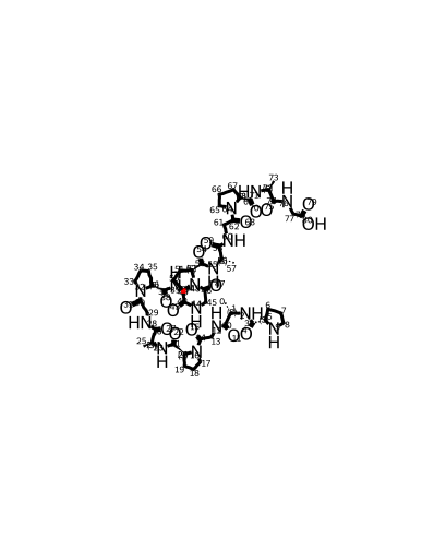 C[C@H](NC(=O)[C@@H]1CCCN1)C(=O)NCC(=O)N1CCC[C@H]1C(=O)N[C@@H](C)C(=O)NCC(=O)N1CCC[C@H]1C(=O)N[C@@H](C)C(=O)NCC(=O)N1CCC[C@H]1C(=O)N[C@@H](C)C(=O)NCC(=O)N1CCC[C@H]1C(=O)N[C@@H](C)C(=O)NCC(=O)O